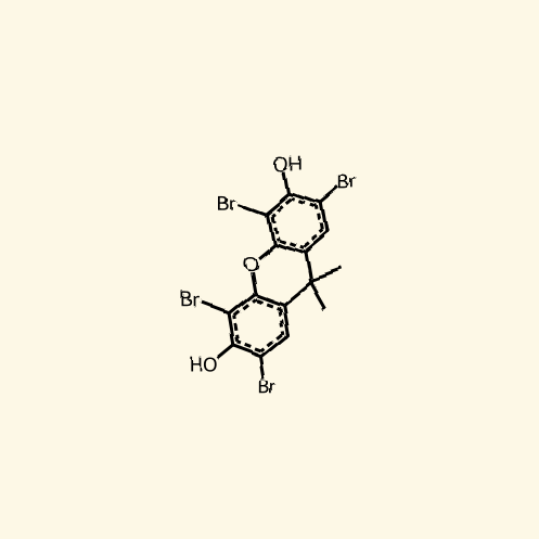 CC1(C)c2cc(Br)c(O)c(Br)c2Oc2c1cc(Br)c(O)c2Br